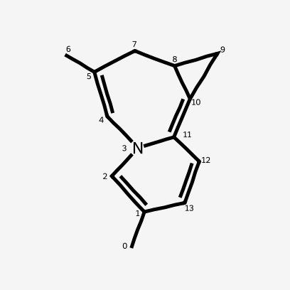 CC1=CN2C=C(C)CC3CC3=C2C=C1